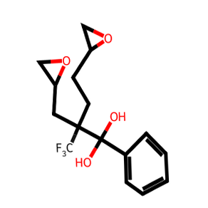 OC(O)(c1ccccc1)C(CCC1CO1)(CC1CO1)C(F)(F)F